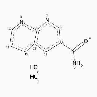 Cl.Cl.NC(=O)c1cnc2ncccc2c1